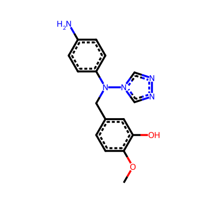 COc1ccc(CN(c2ccc(N)cc2)n2cnnc2)cc1O